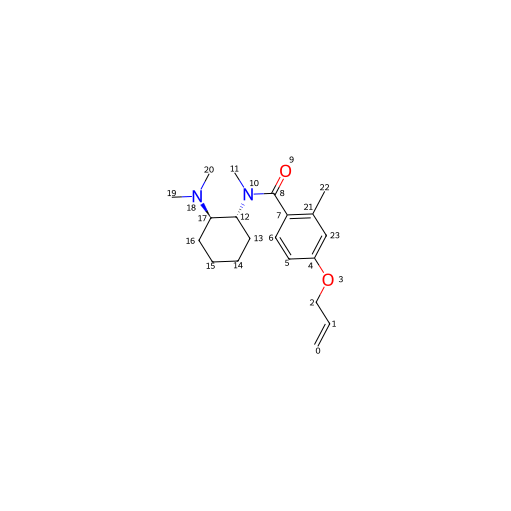 C=CCOc1ccc(C(=O)N(C)[C@@H]2CCCC[C@H]2N(C)C)c(C)c1